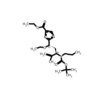 C=C(C)[C@@H](C[C@H](OCC)c1nc(C(=O)OCC)cs1)N(CCC)C(=O)OC(C)(C)C